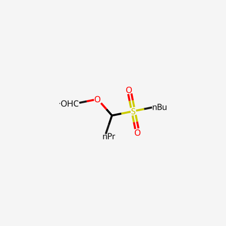 CCCCS(=O)(=O)C(CCC)O[C]=O